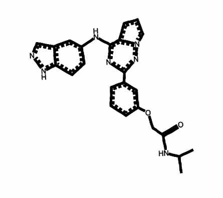 CC(C)NC(=O)COc1cccc(-c2nc(Nc3ccc4[nH]ncc4c3)c3cccn3n2)c1